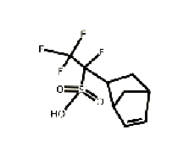 O=S(=O)(O)C(F)(C1CC2C=CC1C2)C(F)(F)F